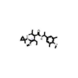 C=N/C(NC1(C)CC1)=C(\CC)C(C(=O)NC(C)c1cc(C)c(OC)c(C)c1)=C(C)C